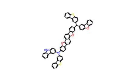 c1ccc2c(c1)[nH]c1ccc(N(c3ccc4c(c3)oc3c4ccc4c3ccc3c5ccc(C(c6ccc7oc8ccccc8c7c6)c6ccc7sc8ccccc8c7c6)cc5oc34)c3ccc4sc5ccccc5c4c3)cc12